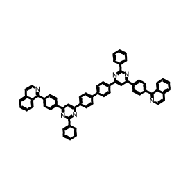 c1ccc(-c2nc(-c3ccc(-c4ccc(-c5cc(-c6ccc(-c7nccc8ccccc78)cc6)nc(-c6ccccc6)n5)cc4)cc3)cc(-c3ccc(-c4nccc5ccccc45)cc3)n2)cc1